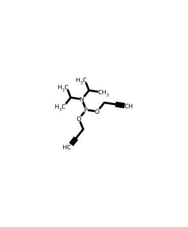 C#CCOP(OCC#C)N(C(C)C)C(C)C